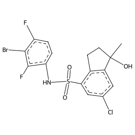 CC1(O)CCc2c1cc(Cl)cc2S(=O)(=O)Nc1ccc(F)c(Br)c1F